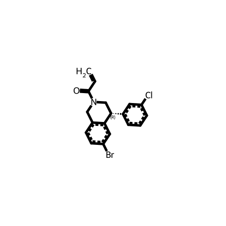 C=CC(=O)N1Cc2ccc(Br)cc2[C@@H](c2cccc(Cl)c2)C1